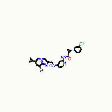 CCc1cc(C2CC2)cn2cc(CNc3ccnc(NC(=O)[C@H]4C[C@@H]4c4cccc(Cl)c4)c3)nc12